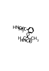 CCC(C)=O.Cc1ccccc1.N=C=O.N=C=O